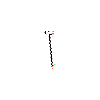 CC(CCCCCCCCCCCCCCCCCC(=O)Cl)C(=O)Cl